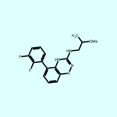 COC(C)CNC1=NSc2cccc(-c3cccc(F)c3F)c2N1